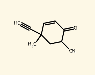 C#CC1(C)C=CC(=O)C(C#N)C1